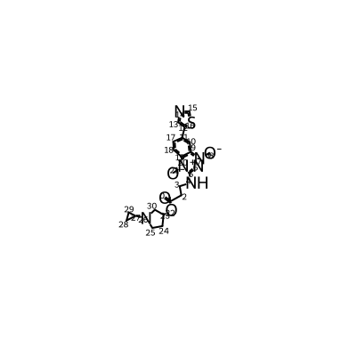 O=C(CCNc1n[n+]([O-])c2cc(-c3cncs3)ccc2[n+]1[O-])OC1CCN(C2CC2)C1